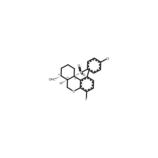 O=C[C@@H]1CCC[C@@]2(S(=O)(=O)c3ccc(Cl)cc3)c3c(F)ccc(F)c3OC[C@@H]12